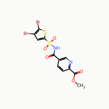 COC(=O)c1ccc(C(=O)NS(=O)(=O)c2cc(Br)c(Br)s2)cn1